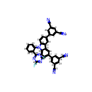 N#Cc1cc(C#N)cc(-c2ccc3c(c2)c2cc(-c4cc(C#N)cc(C#N)c4)ccc2n3-c2ccccc2-c2nc(F)nc(F)n2)c1